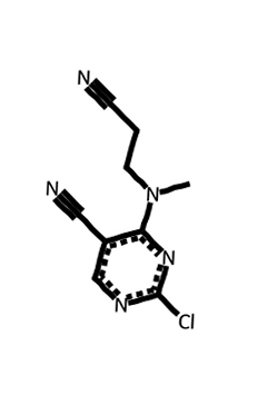 CN(CCC#N)c1nc(Cl)ncc1C#N